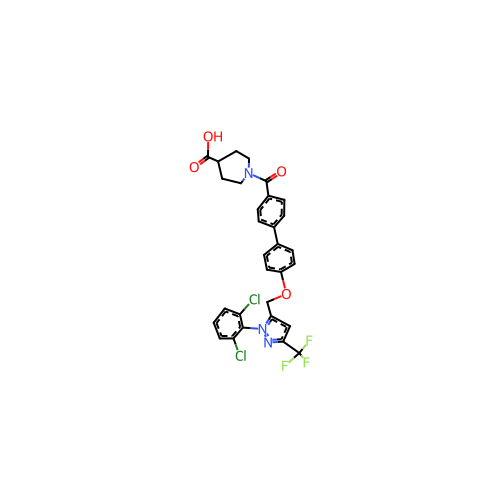 O=C(O)C1CCN(C(=O)c2ccc(-c3ccc(OCc4cc(C(F)(F)F)nn4-c4c(Cl)cccc4Cl)cc3)cc2)CC1